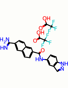 N=C(N)c1ccc2cc(C(=O)Nc3ccc4[nH]ncc4c3)ccc2c1.O=C(O)C(F)(F)F.O=C(O)C(F)(F)F